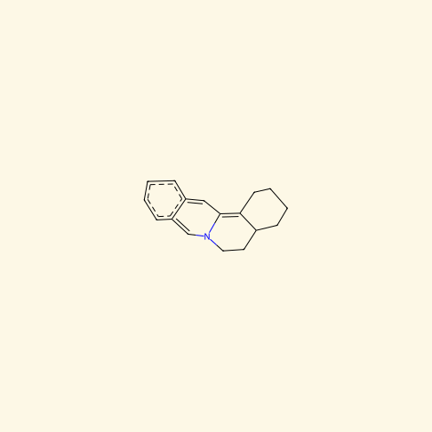 C1=c2ccccc2=CN2CCC3CCCCC3=C12